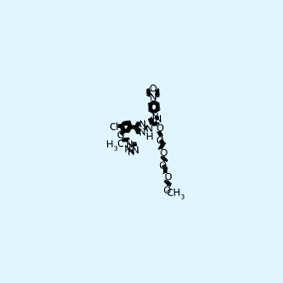 COCCOCCOCCOCCOCCOc1nn(C2CCC(N3CCOCC3)CC2)cc1Nc1ncc(-c2ccc(Cl)c(O[C@@H](C)Cn3cnnn3)c2)cn1